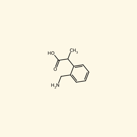 CC(C(=O)O)c1ccccc1CN